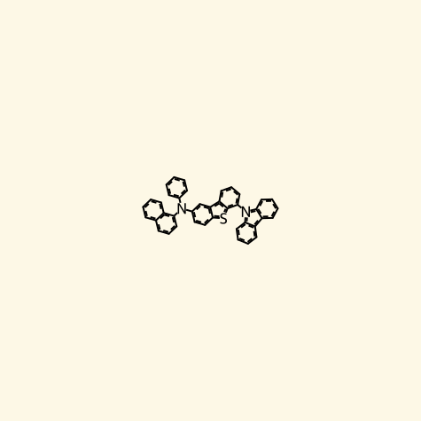 c1ccc(N(c2ccc3sc4c(-n5c6ccccc6c6ccccc65)cccc4c3c2)c2cccc3ccccc23)cc1